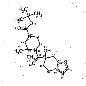 CC(C)(C)OC(=O)N1CCN(C(=O)C2(O)CCn3nccc3C2)C(C)(C)C1